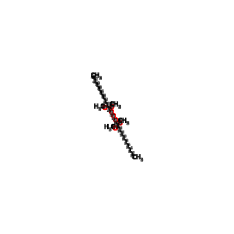 CCCCCCCCCCCCCCCC(OC)=C(COCOCOCC(OC)=C(CCCCCCCCCCCCCCC)OC)OC